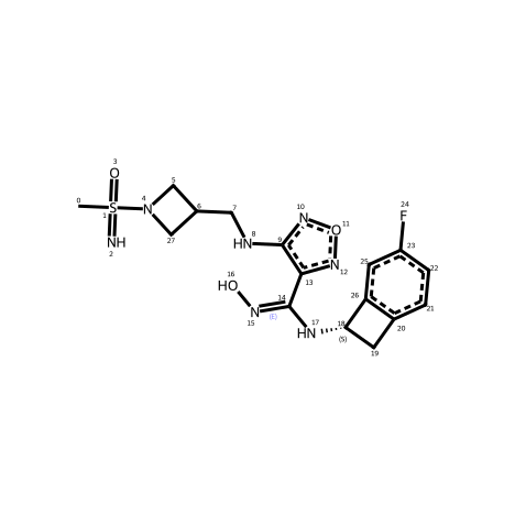 CS(=N)(=O)N1CC(CNc2nonc2/C(=N\O)N[C@H]2Cc3ccc(F)cc32)C1